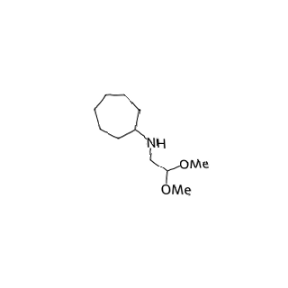 COC(CNC1CCCCCC1)OC